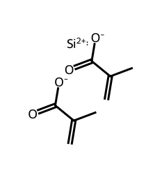 C=C(C)C(=O)[O-].C=C(C)C(=O)[O-].[Si+2]